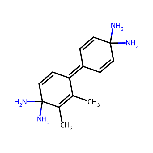 CC1=C(C)C(N)(N)C=CC1=C1C=CC(N)(N)C=C1